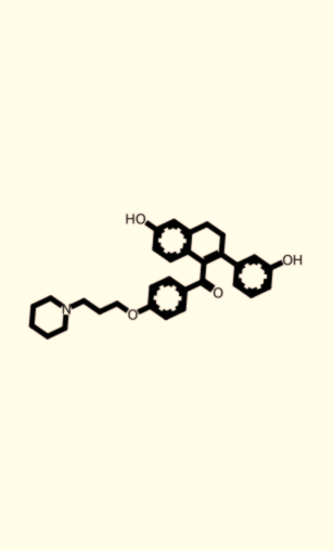 O=C(C1=C(c2cccc(O)c2)CCc2cc(O)ccc21)c1ccc(OCCCN2CCCCC2)cc1